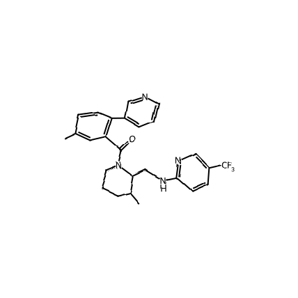 Cc1ccc(-c2cccnc2)c(C(=O)N2CCCC(C)C2CNc2ccc(C(F)(F)F)cn2)c1